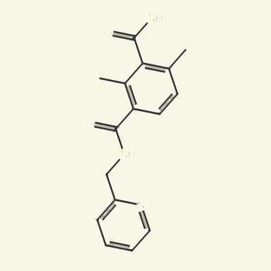 Cc1ccc(C(=O)NCc2ccccn2)c(C)c1C(N)=O